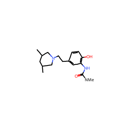 CNC(=O)Nc1cc(CCN2CC(C)CC(C)C2)ccc1O